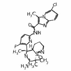 Cc1c(C(=O)Nc2ccc(F)c([C@@]3(C)N=C(N)C(C)(C)[S@@]4(=O)=NCCC[C@@H]34)n2)nc2ccc(Cl)cn12